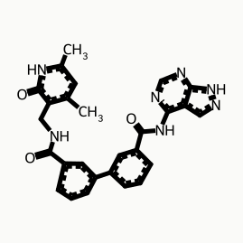 Cc1cc(C)c(CNC(=O)c2cccc(-c3cccc(C(=O)Nc4ncnc5[nH]ncc45)c3)c2)c(=O)[nH]1